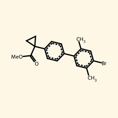 COC(=O)C1(c2ccc(-c3cc(C)c(Br)cc3C)cc2)CC1